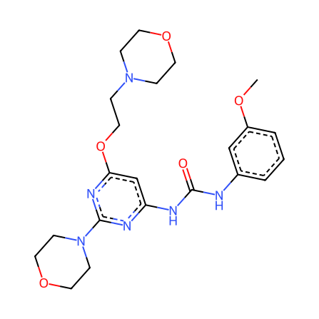 COc1cccc(NC(=O)Nc2cc(OCCN3CCOCC3)nc(N3CCOCC3)n2)c1